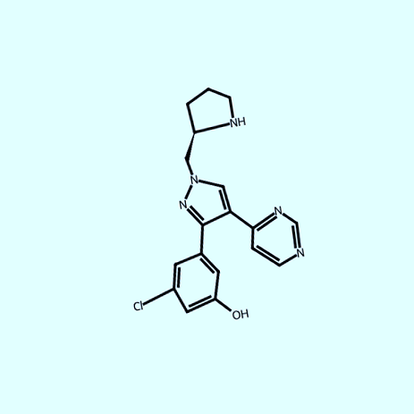 Oc1cc(Cl)cc(-c2nn(C[C@H]3CCCN3)cc2-c2ccncn2)c1